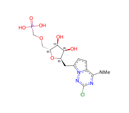 CNc1nc(Cl)nn2c(C[C@H]3O[C@H](COCP(=O)(O)O)[C@@H](O)[C@H]3O)ccc12